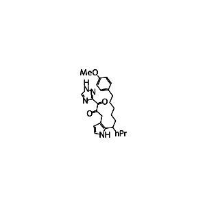 CCCC(CCCCCc1ccc(OC)cc1)c1[nH]ccc1CC(=O)C(=O)c1nc[nH]n1